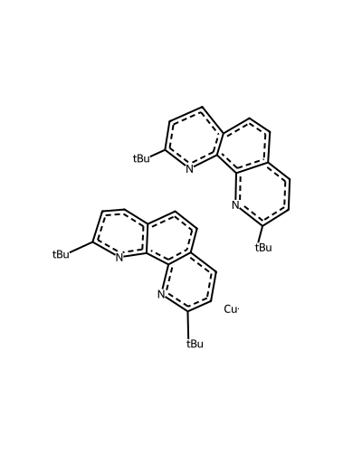 CC(C)(C)c1ccc2ccc3ccc(C(C)(C)C)nc3c2n1.CC(C)(C)c1ccc2ccc3ccc(C(C)(C)C)nc3c2n1.[Cu]